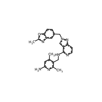 Cc1nc2cc(Cn3cc4c(NCc5c(C)cc(N)nc5C)nccc4n3)ccc2o1